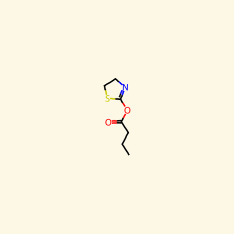 CCCC(=O)OC1=NCCS1